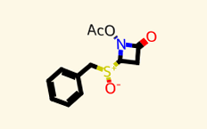 CC(=O)ON1C(=O)CC1[S+]([O-])Cc1ccccc1